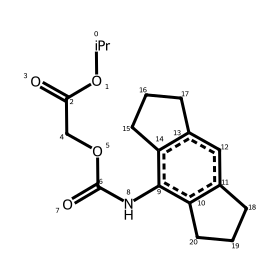 CC(C)OC(=O)COC(=O)Nc1c2c(cc3c1CCC3)CCC2